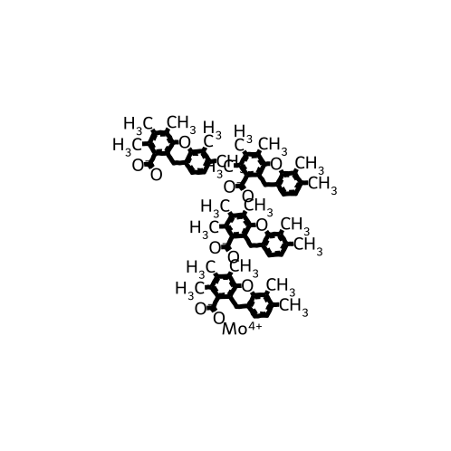 Cc1ccc2c(c1C)Oc1c(C)c(C)c(C)c(C(=O)[O-])c1C2.Cc1ccc2c(c1C)Oc1c(C)c(C)c(C)c(C(=O)[O-])c1C2.Cc1ccc2c(c1C)Oc1c(C)c(C)c(C)c(C(=O)[O-])c1C2.Cc1ccc2c(c1C)Oc1c(C)c(C)c(C)c(C(=O)[O-])c1C2.[Mo+4]